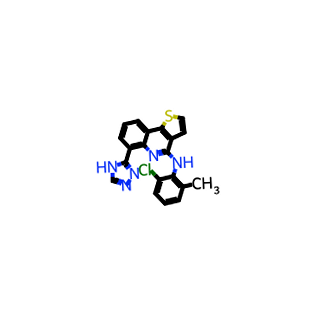 Cc1cccc(Cl)c1Nc1nc2c(-c3nnc[nH]3)cccc2c2sccc12